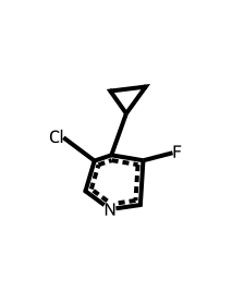 Fc1cncc(Cl)c1C1CC1